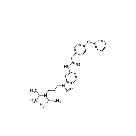 CC(C)N(CCCn1ncc2ccc(NC(=O)Cc3ccc(Oc4ccccc4)cc3)cc21)C(C)C